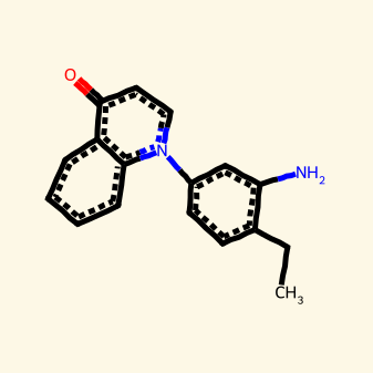 CCc1ccc(-n2ccc(=O)c3ccccc32)cc1N